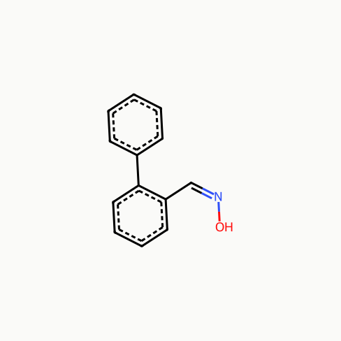 O/N=C\c1ccccc1-c1ccccc1